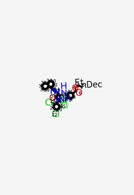 CCCCCCCCCCCC(CC)OC(=O)c1ccc(Cl)c(Nc2[nH]n(-c3c(Cl)cc(Cl)cc3Cl)c(=O)c2N=Nc2cccc3ccccc23)c1